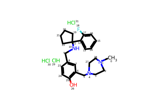 CN1CCN(Cc2cc(CNC3(c4ccccc4F)CCCC3)ccc2O)CC1.Cl.Cl.Cl